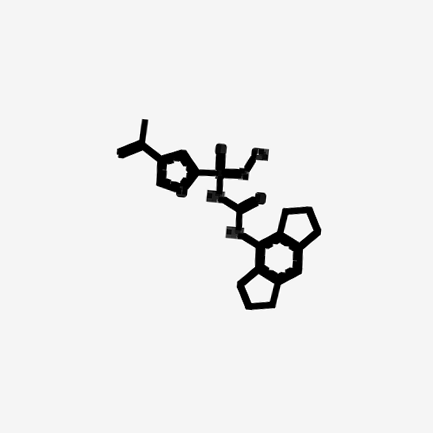 C=C(C)c1coc(S(=O)(=NC#N)NC(=O)Nc2c3c(cc4c2CCC4)CCC3)c1